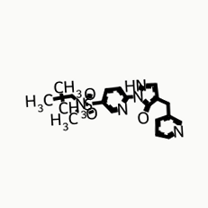 CN(CC(C)(C)C)S(=O)(=O)c1ccc(-n2[nH]cc(Cc3cccnc3)c2=O)nc1